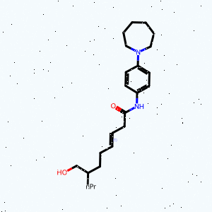 CCCC(CO)CC/C=C/CC(=O)Nc1ccc(N2CCCCCC2)cc1